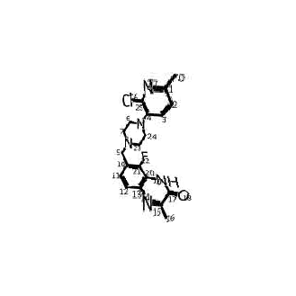 Cc1ccc(N2CCN(Cc3ccc4nc(C)c(=O)[nH]c4c3F)CC2)c(Cl)n1